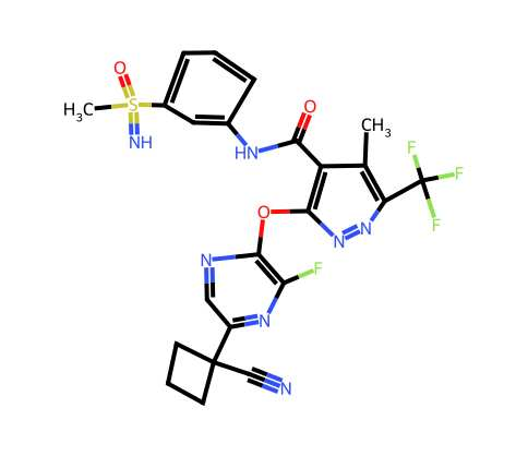 Cc1c(C(F)(F)F)nnc(Oc2ncc(C3(C#N)CCC3)nc2F)c1C(=O)Nc1cccc(S(C)(=N)=O)c1